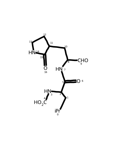 CC(C)CC(NC(=O)O)C(=O)NC(C=O)CC1CCNC1=O